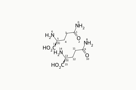 NC(=O)CC[C@H](N)C(=O)O.NC(=O)CC[C@H](N)C(=O)O